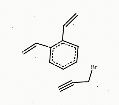 C#CCBr.C=Cc1ccccc1C=C